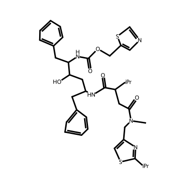 CC(C)c1nc(CN(C)C(=O)CC(C(=O)NC(Cc2ccccc2)CC(O)C(Cc2ccccc2)NC(=O)OCc2cncs2)C(C)C)cs1